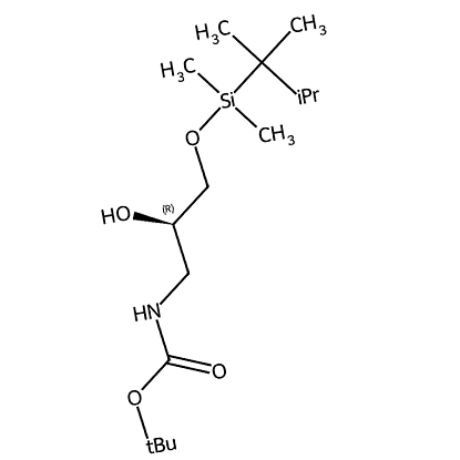 CC(C)C(C)(C)[Si](C)(C)OC[C@H](O)CNC(=O)OC(C)(C)C